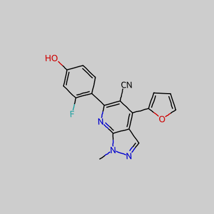 Cn1ncc2c(-c3ccco3)c(C#N)c(-c3ccc(O)cc3F)nc21